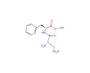 CCCOC(=O)[C@H](Cc1ccccc1)NC(=O)[C@@H](N)CC(=O)O